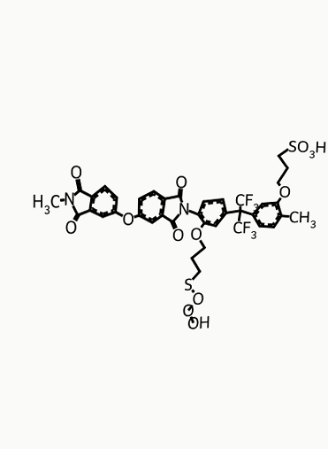 Cc1ccc(C(c2ccc(N3C(=O)c4ccc(Oc5ccc6c(c5)C(=O)N(C)C6=O)cc4C3=O)c(OCCCSOOO)c2)(C(F)(F)F)C(F)(F)F)cc1OCCCS(=O)(=O)O